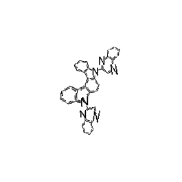 c1ccc2nc(-n3c4ccccc4c4c5c6ccccc6n(-c6cnc7ccccc7n6)c5ccc43)cnc2c1